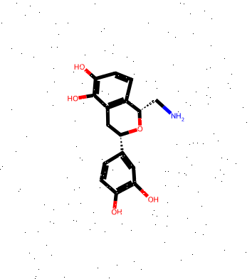 NC[C@@H]1O[C@H](c2ccc(O)c(O)c2)Cc2c1ccc(O)c2O